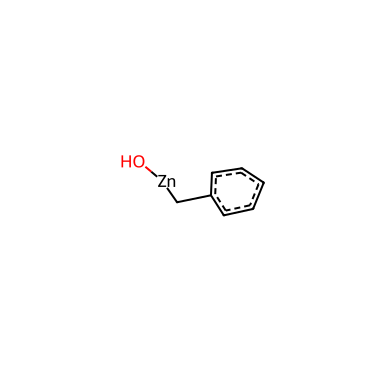 [OH][Zn][CH2]c1ccccc1